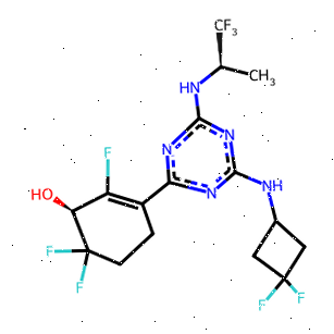 C[C@@H](Nc1nc(NC2CC(F)(F)C2)nc(C2=C(F)[C@H](O)C(F)(F)CC2)n1)C(F)(F)F